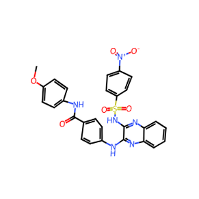 COc1ccc(NC(=O)c2ccc(Nc3nc4ccccc4nc3NS(=O)(=O)c3ccc([N+](=O)[O-])cc3)cc2)cc1